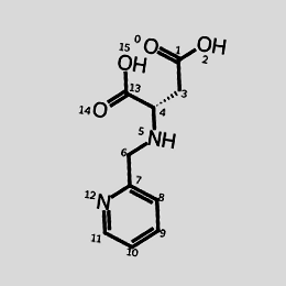 O=C(O)C[C@H](NCc1ccccn1)C(=O)O